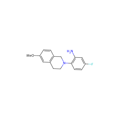 COc1ccc2c(c1)CCN(c1ccc(F)cc1N)C2